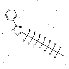 FC(F)(F)C(F)(F)C(F)(F)C(F)(F)C(F)(F)C(F)(F)C(F)(F)c1cc(-c2ccccc2)on1